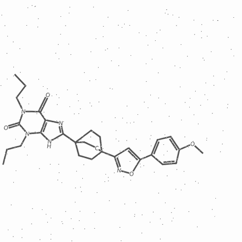 CCCn1c(=O)c2nc(C34CCC(c5cc(-c6ccc(OC)cc6)on5)(CC3)CC4)[nH]c2n(CCC)c1=O